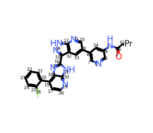 CC(C)C(=O)Nc1cncc(-c2cnc3[nH]nc(-c4nc5c(-c6ccccc6F)ccnc5[nH]4)c3c2)c1